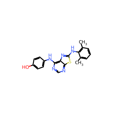 Cc1cccc(C)c1Nc1nc2c(Nc3ccc(O)cc3)ncnc2s1